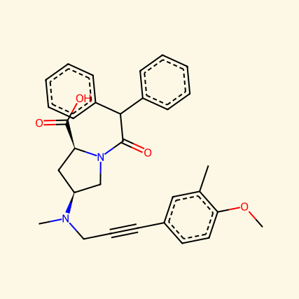 COc1ccc(C#CCN(C)[C@H]2C[C@@H](C(=O)O)N(C(=O)C(c3ccccc3)c3ccccc3)C2)cc1C